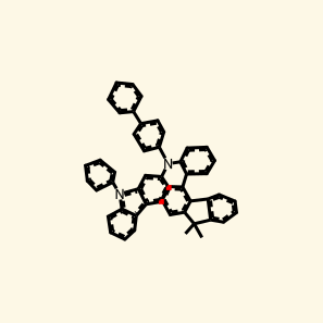 CC1(C)c2ccccc2-c2c(-c3ccccc3N(c3ccc(-c4ccccc4)cc3)c3ccc4c5ccccc5n(-c5ccccc5)c4c3)cccc21